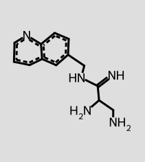 N=C(NCc1ccc2ncccc2c1)C(N)CN